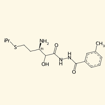 Cc1cccc(C(=O)NNC(=O)C(O)[C@H](N)CCSC(C)C)c1